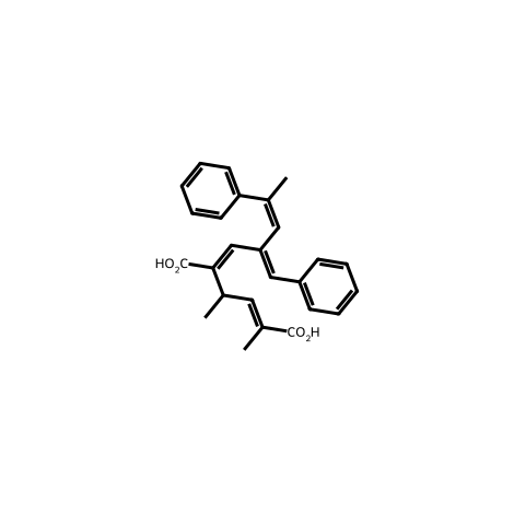 CC(=CC(C)C(=CC(=Cc1ccccc1)C=C(C)c1ccccc1)C(=O)O)C(=O)O